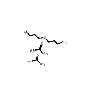 CCCCOCCCC.NC(N)=O.NC(N)=O